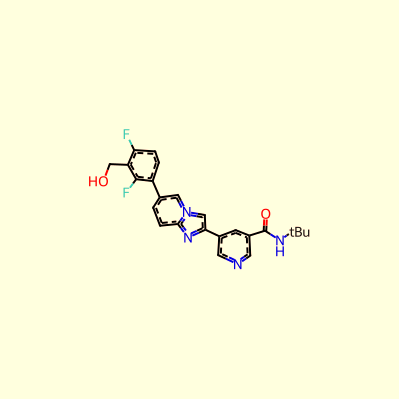 CC(C)(C)NC(=O)c1cncc(-c2cn3cc(-c4ccc(F)c(CO)c4F)ccc3n2)c1